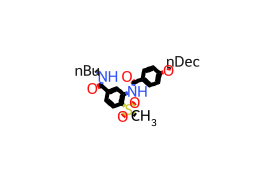 CCCCCCCCCCOc1ccc(C(=O)Nc2cc(C(=O)NCCCC)ccc2S(C)(=O)=O)cc1